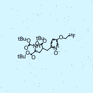 CC(C)(C)OC(=O)N[C@@H](CC(Cc1ccc(OCC[18F])c[n+]1[O-])C(=O)OC(C)(C)C)C(=O)OC(C)(C)C